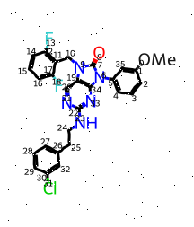 COc1cccc(-n2c(=O)n(Cc3c(F)cccc3F)c3cnc(NCCc4cccc(Cl)c4)nc32)c1